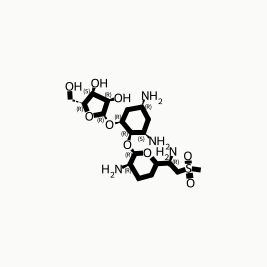 CS(=O)(=O)C[C@H](N)C1CC[C@@H](N)[C@@H](O[C@@H]2[C@@H](N)C[C@@H](N)C[C@H]2O[C@@H]2O[C@H](CO)[C@@H](O)[C@H]2O)O1